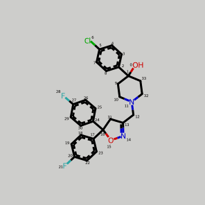 OC1(c2ccc(Cl)cc2)CCN(CC2=NOC(c3ccc(F)cc3)(c3ccc(F)cc3)C2)CC1